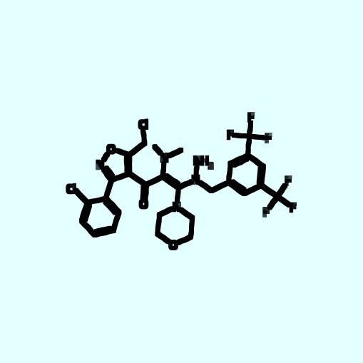 CN(C)/C(C(=O)c1c(-c2ccccc2Cl)noc1CCl)=C(\N(N)Cc1cc(C(F)(F)F)cc(C(F)(F)F)c1)N1CCOCC1